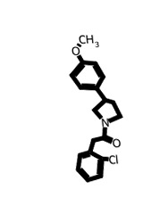 COc1ccc(C2CCN(C(=O)Cc3ccccc3Cl)C2)cc1